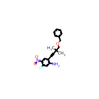 CC(C)(C#Cc1cc([N+](=O)[O-])c(F)cc1N)COCc1ccccc1